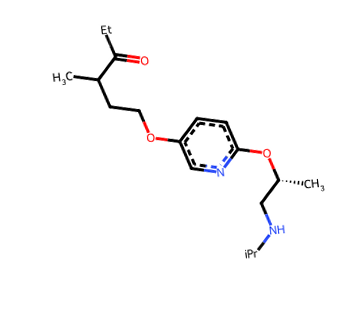 CCC(=O)C(C)CCOc1ccc(O[C@H](C)CNC(C)C)nc1